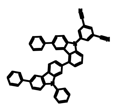 N#Cc1cc(C#N)cc(-n2c3ccc(-c4ccccc4)cc3c3c(-c4ccc5c6cc(-c7ccccc7)ccc6n(-c6ccccc6)c5c4)cccc32)c1